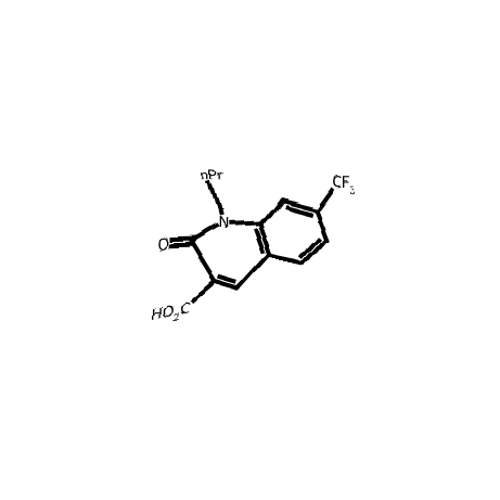 CCCn1c(=O)c(C(=O)O)cc2ccc(C(F)(F)F)cc21